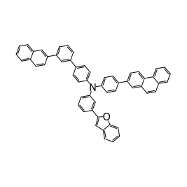 c1cc(-c2ccc(N(c3ccc(-c4ccc5c(ccc6ccccc65)c4)cc3)c3cccc(-c4cc5ccccc5o4)c3)cc2)cc(-c2ccc3ccccc3c2)c1